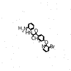 C=C(Nc1ccccc1N)C(=O)c1ccc(Oc2ncccc2Br)cc1